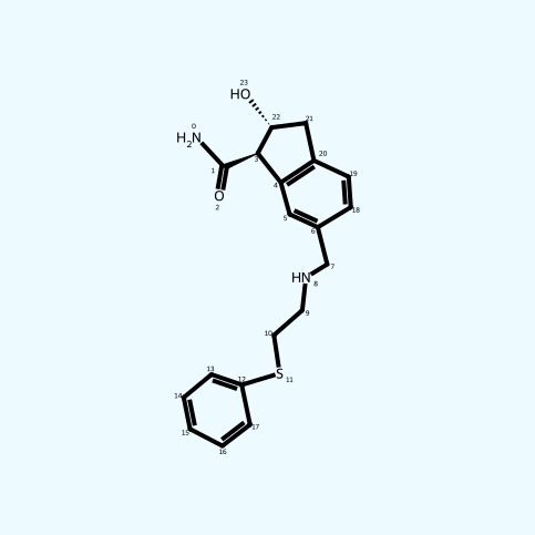 NC(=O)[C@@H]1c2cc(CNCCSc3ccccc3)ccc2C[C@H]1O